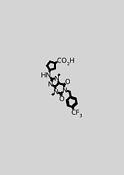 CN1C(=O)N(Cc2ccc(C(F)(F)F)cc2)C(=O)C2C1N=C(NC1CCC(C(=O)O)C1)N2C